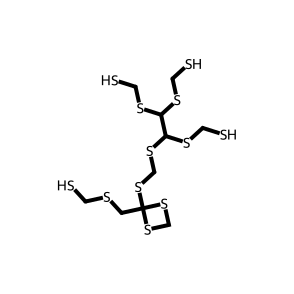 SCSCC1(SCSC(SCS)C(SCS)SCS)SCS1